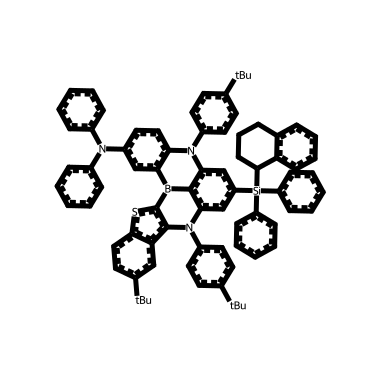 CC(C)(C)c1ccc(N2c3ccc(N(c4ccccc4)c4ccccc4)cc3B3c4sc5ccc(C(C)(C)C)cc5c4N(c4ccc(C(C)(C)C)cc4)c4cc([Si](c5ccccc5)(c5ccccc5)C5CCCc6ccccc65)cc2c43)cc1